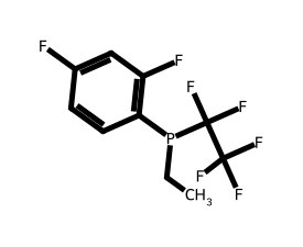 CCP(c1ccc(F)cc1F)C(F)(F)C(F)(F)F